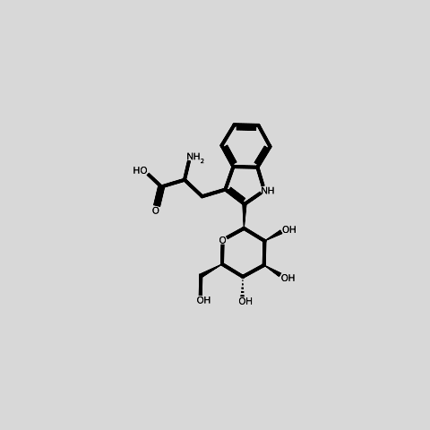 NC(Cc1c([C@@H]2O[C@H](CO)[C@@H](O)[C@H](O)[C@@H]2O)[nH]c2ccccc12)C(=O)O